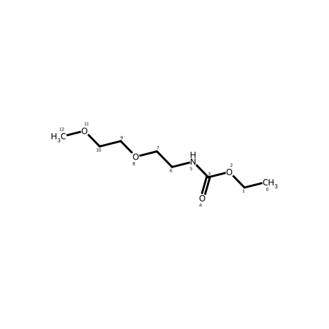 CCOC(=O)NCCOCCOC